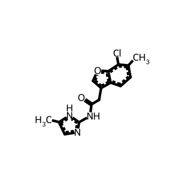 Cc1cnc(NC(=O)Cc2coc3c(Cl)c(C)ccc23)[nH]1